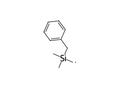 [CH2][Si](C)(C)Cc1ccccc1